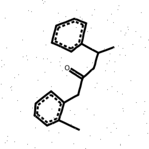 Cc1ccccc1CC(=O)CC(C)c1ccccc1